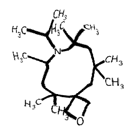 CC(C)N1C(C)CC(C)(C)C2(COC2)CC(C)(C)CC1(C)C